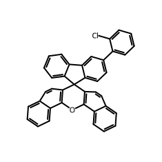 Clc1ccccc1-c1ccc2c(c1)-c1ccccc1C21c2ccc3ccccc3c2Oc2c1ccc1ccccc21